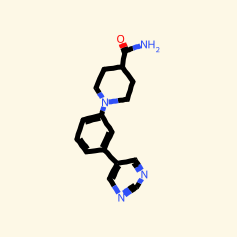 NC(=O)C1CCN(c2cccc(-c3cncnc3)c2)CC1